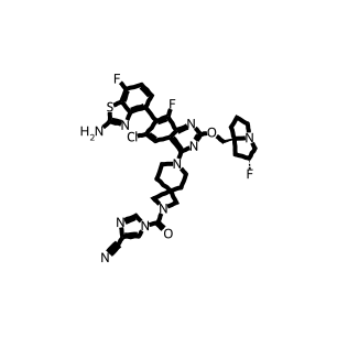 N#Cc1cn(C(=O)N2CC3(CCN(c4nc(OC[C@@]56CCCN5C[C@H](F)C6)nc5c(F)c(-c6ccc(F)c7sc(N)nc67)c(Cl)cc45)CC3)C2)cn1